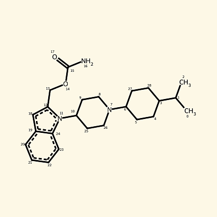 CC(C)C1CCC(N2CCC(n3c(COC(N)=O)cc4ccccc43)CC2)CC1